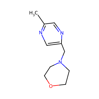 Cc1cnc(CN2CCOCC2)cn1